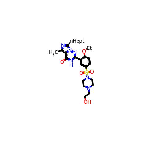 CCCCCCCc1nc(C)c2c(=O)[nH]c(-c3cc(S(=O)(=O)N4CCN(CCO)CC4)ccc3OCC)nn12